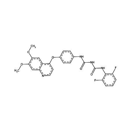 COc1cc2nccc(Oc3ccc(NC(=O)NC(=O)Nc4c(F)cccc4F)cc3)c2cc1OC